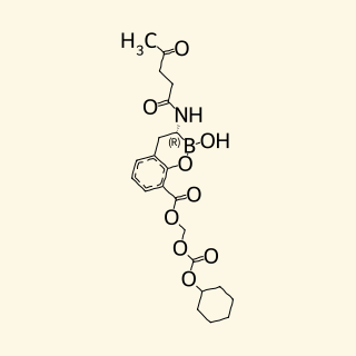 CC(=O)CCC(=O)N[C@H]1Cc2cccc(C(=O)OCOC(=O)OC3CCCCC3)c2OB1O